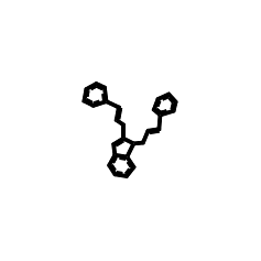 C(=Cc1ccccc1)CC1=Cc2ccccc2C1CC=Cc1ccccc1